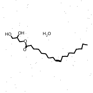 CCCCCCCC/C=C\CCCCCCCC(=O)OCC(O)CO.O